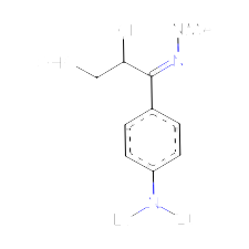 CCN(CC)c1ccc(/C(=N/NC)C(C)CC=O)cc1